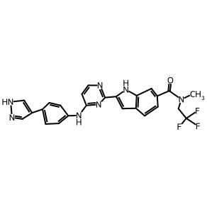 CN(CC(F)(F)F)C(=O)c1ccc2cc(-c3nccc(Nc4ccc(-c5cn[nH]c5)cc4)n3)[nH]c2c1